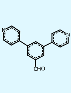 O=Cc1cc(-c2ccncc2)cc(-c2ccncc2)c1